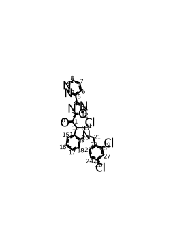 O=C(c1nc(-c2cccnn2)no1)C1c2ccccc2N(Cc2ccc(Cl)cc2Cl)C1Cl